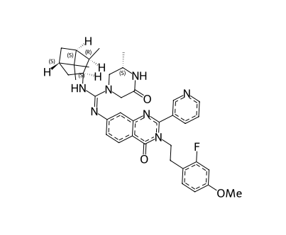 COc1ccc(CCn2c(-c3cccnc3)nc3cc(N=C(N[C@H]4C[C@@H]5C[C@@H]([C@H]4C)C5(C)C)N4CC(=O)N[C@@H](C)C4)ccc3c2=O)c(F)c1